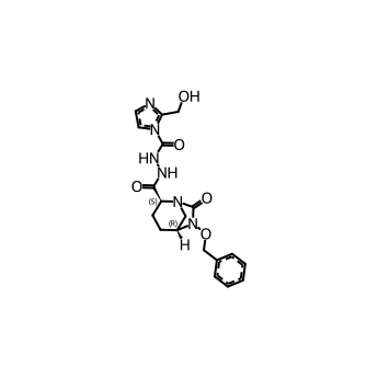 O=C(NNC(=O)n1ccnc1CO)[C@@H]1CC[C@@H]2CN1C(=O)N2OCc1ccccc1